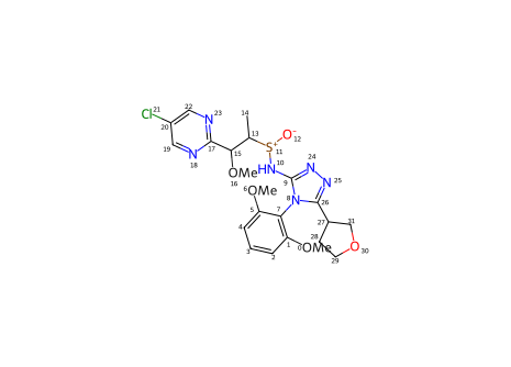 COc1cccc(OC)c1-n1c(N[S+]([O-])C(C)C(OC)c2ncc(Cl)cn2)nnc1C1CCOC1